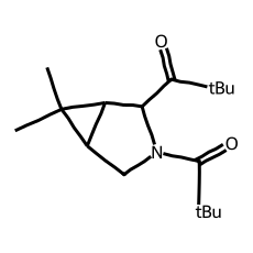 CC(C)(C)C(=O)C1C2C(CN1C(=O)C(C)(C)C)C2(C)C